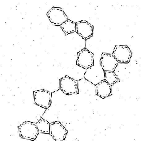 c1cc(-c2ccc(N(c3ccc(-c4cccc5c4sc4ccccc45)cc3)c3cccc4oc5c6ccccc6ccc5c34)cc2)cc(-n2c3ccccc3c3ccccc32)c1